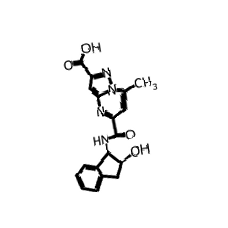 Cc1cc(C(=O)N[C@@H]2c3ccccc3C[C@@H]2O)nc2cc(C(=O)O)nn12